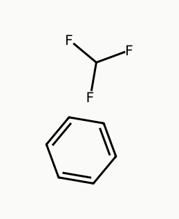 FC(F)F.c1ccccc1